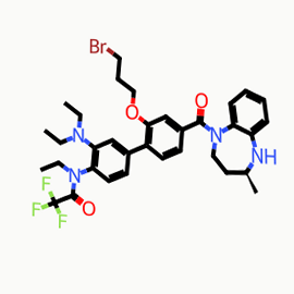 CCN(CC)c1cc(-c2ccc(C(=O)N3CC[C@H](C)Nc4ccccc43)cc2OCCCBr)ccc1N(CC)C(=O)C(F)(F)F